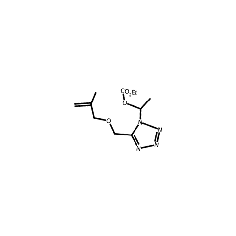 C=C(C)COCc1nnnn1C(C)OC(=O)OCC